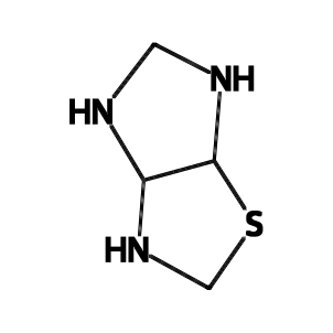 C1NC2NCSC2N1